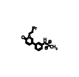 CC(C)CCn1cc(-c2cccc(NS(C)(=O)=O)c2)ccc1=O